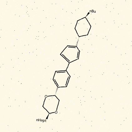 CCCCCCC[C@H]1CO[C@H](c2ccc(-c3ccc([C@H]4CC[C@H](CCCC)CC4)cc3)cc2)CO1